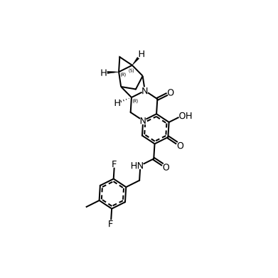 Cc1cc(F)c(CNC(=O)c2cn3c(c(O)c2=O)C(=O)N2C4CC([C@@H]5C[C@H]45)[C@@H]2C3)cc1F